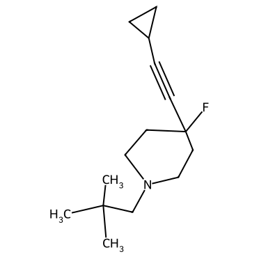 CC(C)(C)CN1CCC(F)(C#CC2CC2)CC1